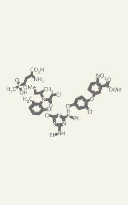 CCNc1nc(Cl)nc(NC(C)C)n1.CCc1cccc(C)c1N(C(=O)CCl)C(C)COC.COC(=O)c1cc(Oc2ccc(Cl)cc2Cl)ccc1[N+](=O)[O-].CP(=O)(O)CCC(N)C(=O)O